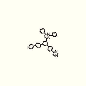 c1ccc(-c2nc(-c3ccccc3)nc(-c3cc(-c4ccc(-c5ccncc5)cc4)cc(-c4ccc(-c5ccncn5)cc4)c3)n2)cc1